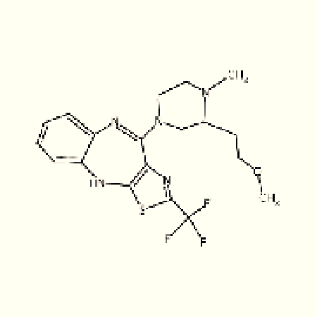 COCCC1CN(C2=Nc3ccccc3Nc3sc(C(F)(F)F)nc32)CCN1C